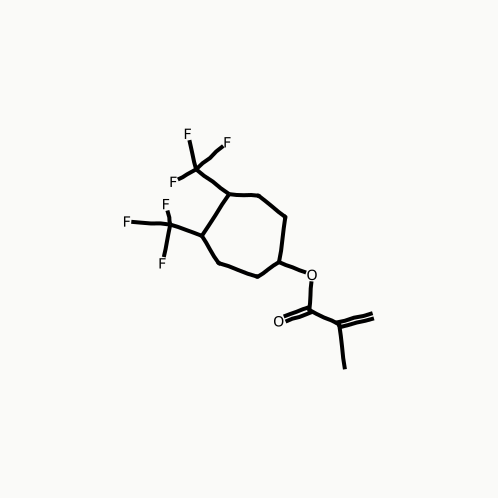 C=C(C)C(=O)OC1CCC(C(F)(F)F)C(C(F)(F)F)CC1